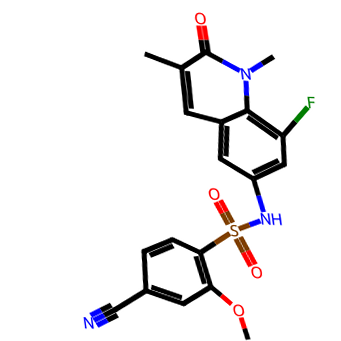 COc1cc(C#N)ccc1S(=O)(=O)Nc1cc(F)c2c(c1)cc(C)c(=O)n2C